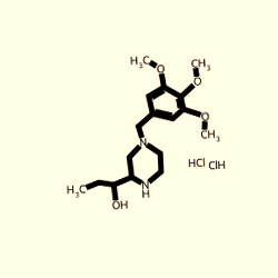 CCC(O)C1CN(Cc2cc(OC)c(OC)c(OC)c2)CCN1.Cl.Cl